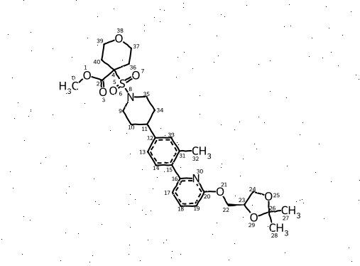 COC(=O)C1(S(=O)(=O)N2CCC(c3ccc(-c4cccc(OC[C@H]5COC(C)(C)O5)n4)c(C)c3)CC2)CCOCC1